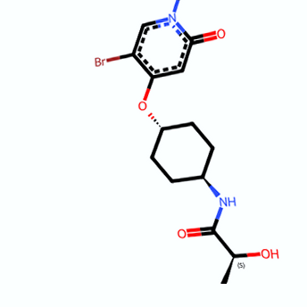 C[C@H](O)C(=O)N[C@H]1CC[C@H](Oc2cc(=O)n(C)cc2Br)CC1